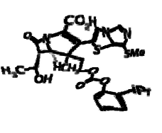 CSc1ncn2cc(C3=C(C(=O)O)N4C(=O)[C@H](C(C)O)[C@@H]4[C@@]3(C)CCOC(=O)Oc3ccccc3C(C)C)sc12